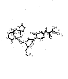 CCC1OC(n2ccc(NC(=O)C(C)C)nc2=O)CC1OP1OC2(CCCC2)C[C@@H]2CCCN21